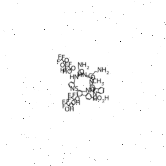 CN1C(=O)[C@H](CCCCN)NC(=O)[C@H](CCCN)NCc2cccnc2Sc2cccc(-c3ccc(C(=O)O)cc3)c2CNC(=O)[C@@H]1Cc1c[nH]c2ccccc12.O=C(O)C(F)(F)F.O=C(O)C(F)(F)F.O=C(O)C(F)(F)F.O=C(O)C(F)(F)F